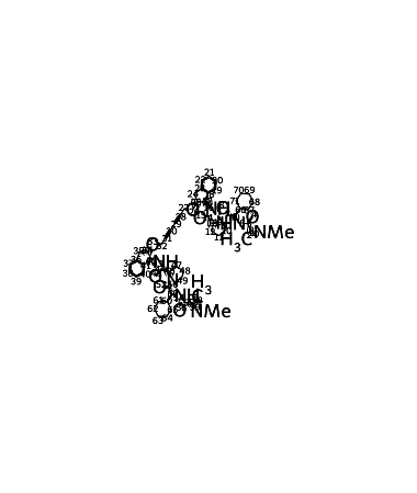 CN[C@H](C)C(=O)N[C@@H](C(=O)N1CCC[C@@H]1C(=O)N[C@@H]1c2ccccc2C[C@@H]1OCC#CC#CCO[C@H]1Cc2ccccc2[C@H]1NC(=O)[C@H]1CCCN1C(=O)[C@H](NC(=O)[C@@H](C)NC)C1CCCCC1)C1CCCCC1